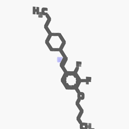 CCCCOc1ccc(/C=C/C2CCC(CCC)CC2)c(F)c1F